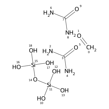 C=O.NC(N)=O.NC(N)=O.O[Si](O)(O)O[Si](O)(O)O